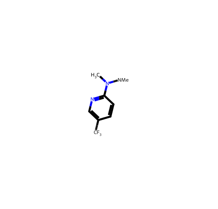 CNN(C)c1ccc(C(F)(F)F)cn1